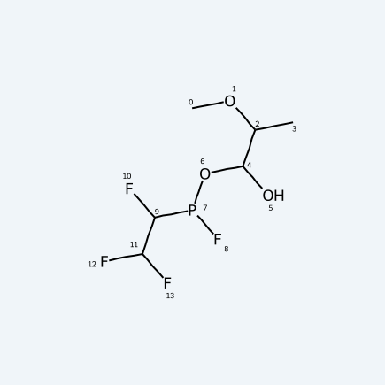 COC(C)C(O)OP(F)C(F)C(F)F